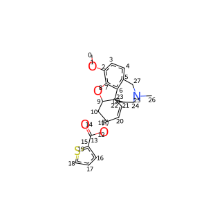 COc1ccc2c3c1OC1C[C@@H](OC(=O)c4cccs4)C=C[C@@]31CCN(C)C2